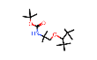 CC(C)(COC(C(C)(C)C)C(C)(C)C)NC(=O)OC(C)(C)C